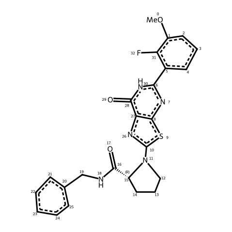 COc1cccc(-c2nc3sc(N4CCC[C@@H]4C(=O)NCc4ccccc4)nc3c(=O)[nH]2)c1F